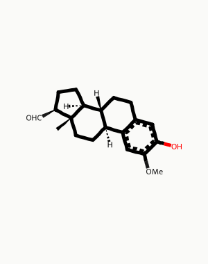 COc1cc2c(cc1O)CC[C@@H]1[C@@H]2CC[C@]2(C)[C@@H](C=O)CC[C@@H]12